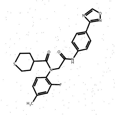 Cc1ccc(N(CC(=O)Nc2ccc(-c3ncon3)cc2)C(=O)C2CCSCC2)c(F)c1